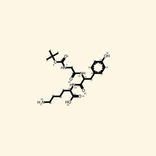 CC(C)(C)OC(=O)NCC(=O)NC(Cc1ccc(O)cc1)C(=O)NC(CCCCN)C(=O)O